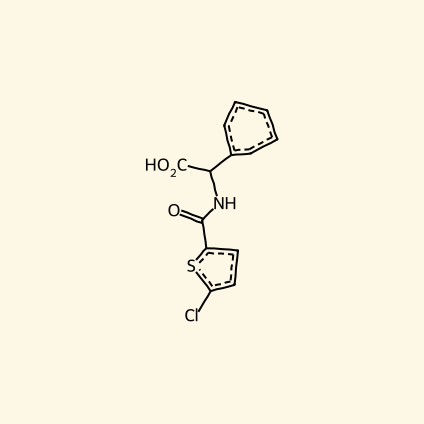 O=C(NC(C(=O)O)c1ccccc1)c1ccc(Cl)s1